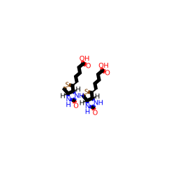 O=C(O)CCCC[C@@H]1SC[C@@H]2NC(=O)N[C@@H]21.O=C(O)CCCC[C@@H]1SC[C@@H]2NC(=O)N[C@@H]21